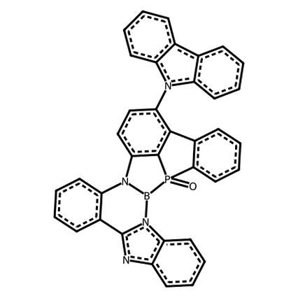 O=P12B3N(c4ccccc4-c4nc5ccccc5n43)c3ccc(-n4c5ccccc5c5ccccc54)c(c31)-c1ccccc12